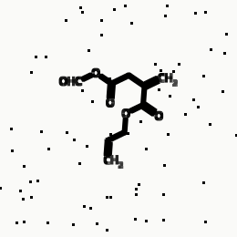 C=CCOC(=O)C(=C)CC(=O)OC=O